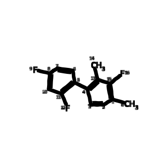 Cc1c[c]c(-c2ccc(F)cc2F)c(C)c1F